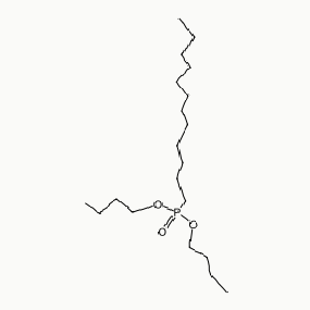 CCCCCCCCCCCCP(=O)(OCCCC)OCCCC